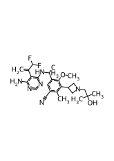 C=C(c1c(N)ncnc1NC(C)c1cc(C#N)c(C)c(C2CN(CC(C)(C)O)C2)c1OC)C(F)F